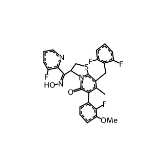 COc1cccc(-c2c(C)c(Cc3c(F)cccc3F)c3n(c2=O)C(C(=NO)c2ncccc2F)CS3)c1F